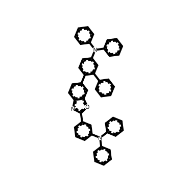 c1ccc(-c2cc(N(c3ccccc3)c3ccccc3)ccc2-c2ccc3nc(-c4cccc(N(c5ccccc5)c5ccccc5)c4)oc3c2)cc1